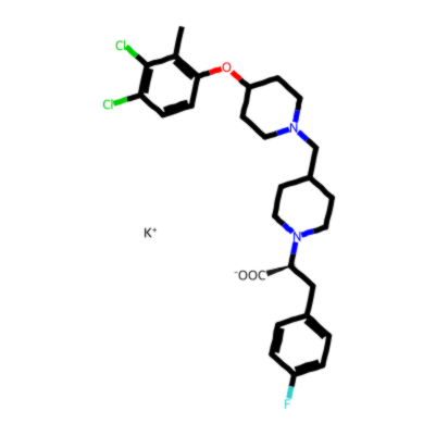 Cc1c(OC2CCN(CC3CCN([C@@H](Cc4ccc(F)cc4)C(=O)[O-])CC3)CC2)ccc(Cl)c1Cl.[K+]